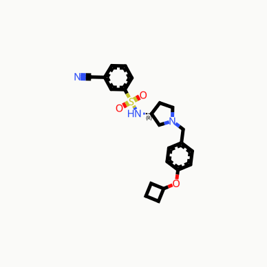 N#Cc1cccc(S(=O)(=O)N[C@@H]2CCN(Cc3ccc(OC4CCC4)cc3)C2)c1